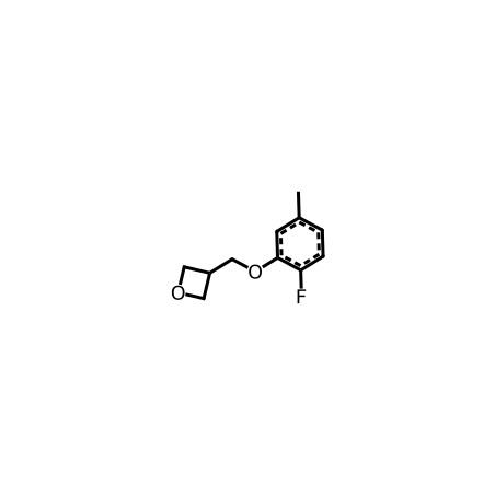 Cc1ccc(F)c(OCC2COC2)c1